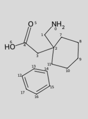 NCC1(CC(=O)O)CCCCC1.c1ccccc1